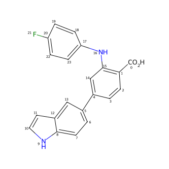 O=C(O)c1ccc(-c2ccc3[nH]ccc3c2)cc1Nc1ccc(F)cc1